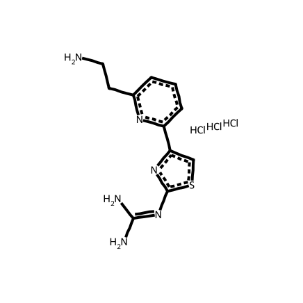 Cl.Cl.Cl.NCCc1cccc(-c2csc(N=C(N)N)n2)n1